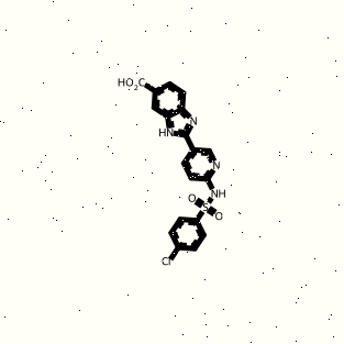 O=C(O)c1ccc2nc(-c3ccc(NS(=O)(=O)c4ccc(Cl)cc4)nc3)[nH]c2c1